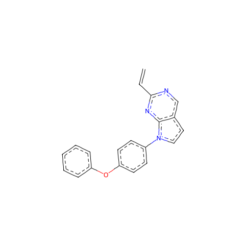 C=Cc1ncc2ccn(-c3ccc(Oc4ccccc4)cc3)c2n1